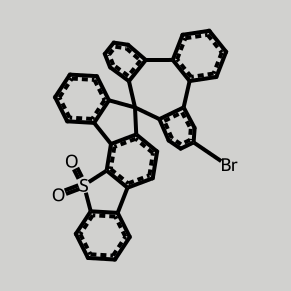 O=S1(=O)c2ccccc2-c2ccc3c(c21)-c1ccccc1C31c2ccccc2-c2ccccc2-c2cc(Br)ccc21